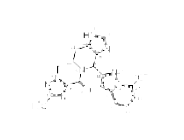 Cn1nc(C(F)(F)F)nc1C(=O)N1CCc2[nH]cnc2C1c1cc2cccc(C(F)(F)F)n2n1